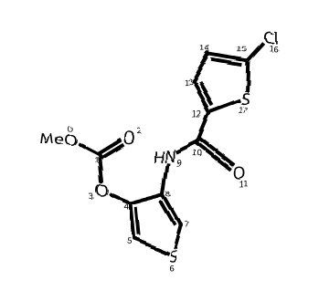 COC(=O)Oc1cscc1NC(=O)c1ccc(Cl)s1